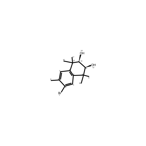 Cc1cc2c(cc1Br)C(C)(C)[C@H](O)[C@H](O)C2(C)C